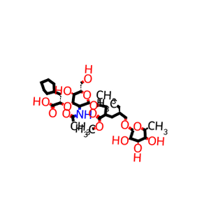 CC[C@@H](COC1O[C@@H](C)C(O)[C@H](O)[C@@H]1O)CC(C[C@H](C)O[C@@H]1O[C@@H](CO)[C@H](O)C(O[C@@H](CC2CCCCC2)C(=O)O)C1NC(C)=O)C(=O)OC